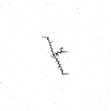 CCCCCC/C=C/COC(=O)CCCCCCCC(N)(CCCCCCCC(=O)OC/C=C/CCCCCC)OC(=O)CCC(CCC)OCC